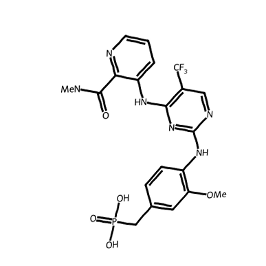 CNC(=O)c1ncccc1Nc1nc(Nc2ccc(CP(=O)(O)O)cc2OC)ncc1C(F)(F)F